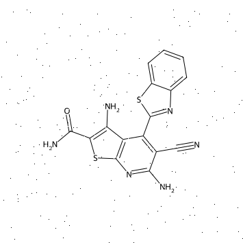 N#Cc1c(N)nc2sc(C(N)=O)c(N)c2c1-c1nc2ccccc2s1